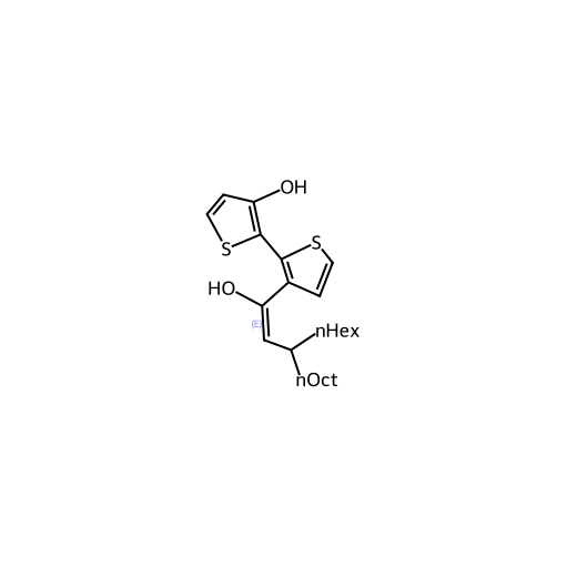 CCCCCCCCC(/C=C(/O)c1ccsc1-c1sccc1O)CCCCCC